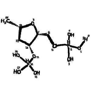 [2H]O[PH](O)(O)OC[C@H]1O[C@@H](C)C[C@H]1O[PH](O)(O)O